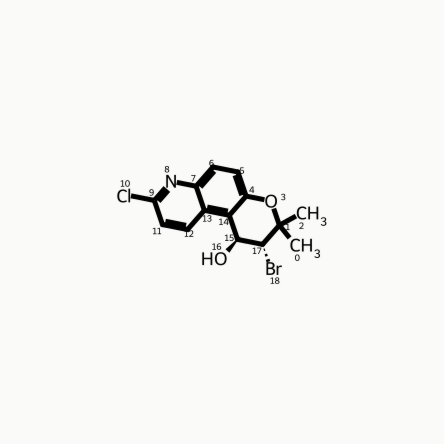 CC1(C)Oc2ccc3nc(Cl)ccc3c2[C@H](O)[C@H]1Br